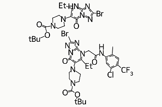 CCc1[nH]c2nc(Br)nn2c(=O)c1N1CCN(C(=O)OC(C)(C)C)CC1.CCc1c(N2CCN(C(=O)OC(C)(C)C)CC2)c(=O)n2nc(Br)nc2n1CC(=O)Nc1cc(Cl)c(C(F)(F)F)cc1C